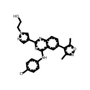 Cc1noc(C)c1-c1ccc2nc(-c3cnn(CCO)c3)nc(Nc3ccc(Cl)cc3)c2c1